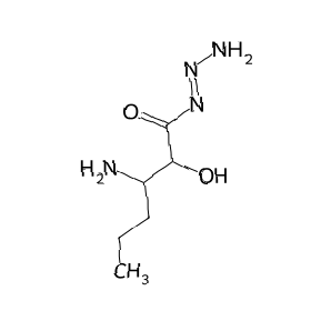 CCCC(N)C(O)C(=O)N=NN